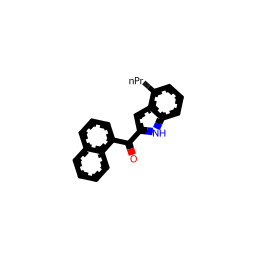 CCCc1cccc2[nH]c(C(=O)c3cccc4ccccc34)cc12